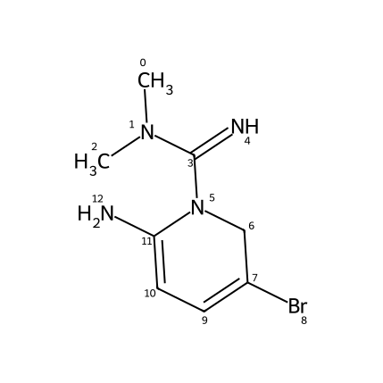 CN(C)C(=N)N1CC(Br)=CC=C1N